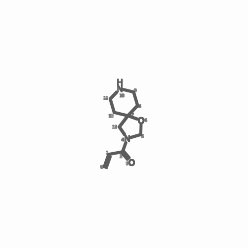 C=CC(=O)N1COC2(CCNCC2)C1